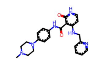 CN1CCN(c2ccc(NC(=O)c3c(NCc4ccccn4)cc[nH]c3=O)cc2)CC1